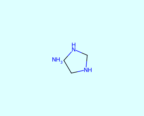 C1CNCN1.N